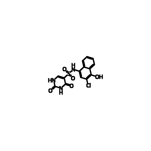 O=c1[nH]cc(S(=O)(=O)Nc2cc(Cl)c(O)c3ccccc23)c(=O)[nH]1